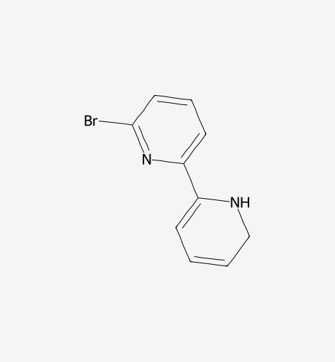 Brc1cccc(C2=CC=CCN2)n1